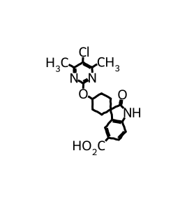 Cc1nc(OC2CCC3(CC2)C(=O)Nc2ccc(C(=O)O)cc23)nc(C)c1Cl